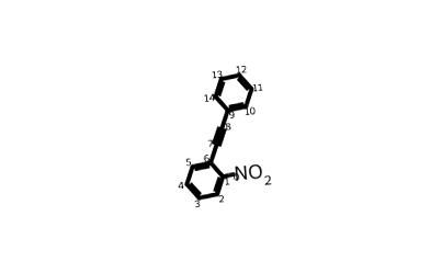 O=[N+]([O-])c1ccccc1C#Cc1ccccc1